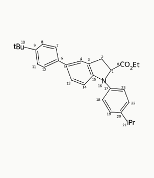 CCOC(=O)C1Cc2cc(-c3ccc(C(C)(C)C)cc3)ccc2N1c1ccc(C(C)C)cc1